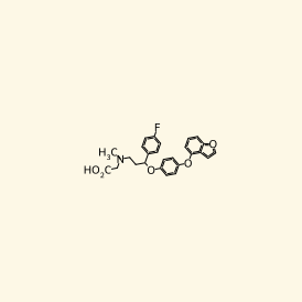 CN(CCC(Oc1ccc(Oc2cccc3occc23)cc1)c1ccc(F)cc1)CC(=O)O